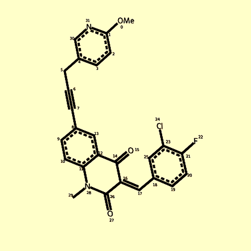 COc1ccc(CC#Cc2ccc3c(c2)C(=O)/C(=C\c2ccc(F)c(Cl)c2)C(=O)N3C)cn1